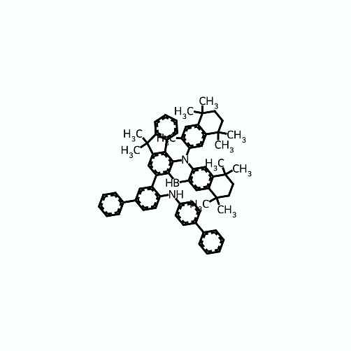 Cc1cc2c(cc1N1c3cc4c(cc3Bc3c(-c5cc(-c6ccccc6)ccc5Nc5ccc(-c6ccccc6)cc5)cc5c(c31)-c1ccccc1C5(C)C)C(C)(C)CCC4(C)C)C(C)(C)CCC2(C)C